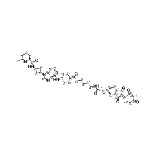 Cc1cccc(C(=O)NC2CC(n3cnc4c(NC5CCN(C(=O)CCCCCNC(=O)COc6ccc7c(c6)C(=O)N([C@@H]6CCC(=O)NC6=O)C7=O)CC5)ncnc43)C2)n1